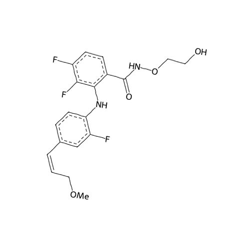 COC/C=C\c1ccc(Nc2c(C(=O)NOCCO)ccc(F)c2F)c(F)c1